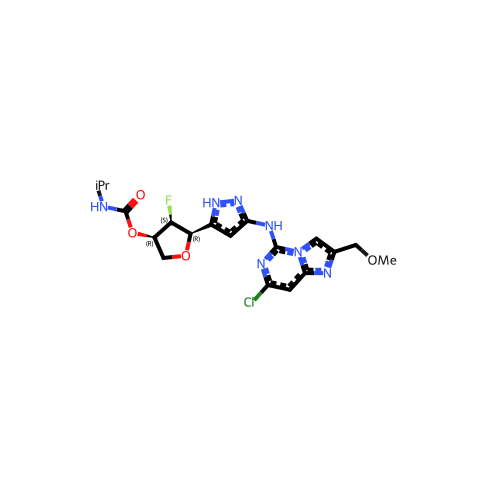 COCc1cn2c(Nc3cc([C@H]4OC[C@@H](OC(=O)NC(C)C)[C@H]4F)[nH]n3)nc(Cl)cc2n1